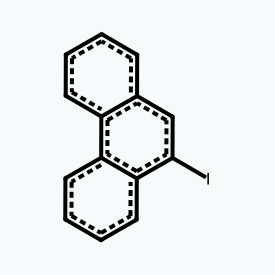 Ic1cc2ccccc2c2ccccc12